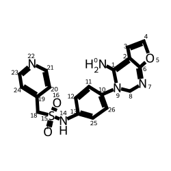 NC1=c2ccoc2=NCN1c1ccc(NS(=O)(=O)Cc2ccncc2)cc1